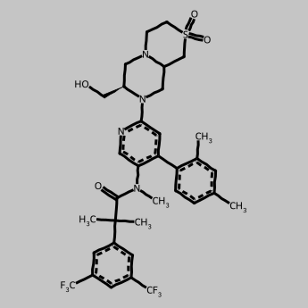 Cc1ccc(-c2cc(N3CC4CS(=O)(=O)CCN4C[C@@H]3CO)ncc2N(C)C(=O)C(C)(C)c2cc(C(F)(F)F)cc(C(F)(F)F)c2)c(C)c1